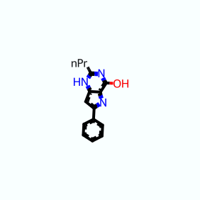 CCCc1nc(O)c2nc(-c3ccccc3)cc-2[nH]1